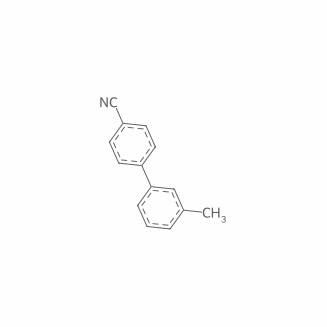 Cc1cccc(-c2ccc(C#N)cc2)c1